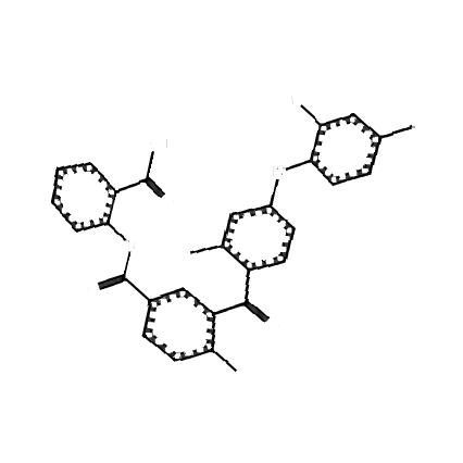 Cc1ccc(C(=O)Nc2ccccc2C(=O)O)cc1C(=O)c1ccc(Nc2ccc(F)cc2F)cc1Cl